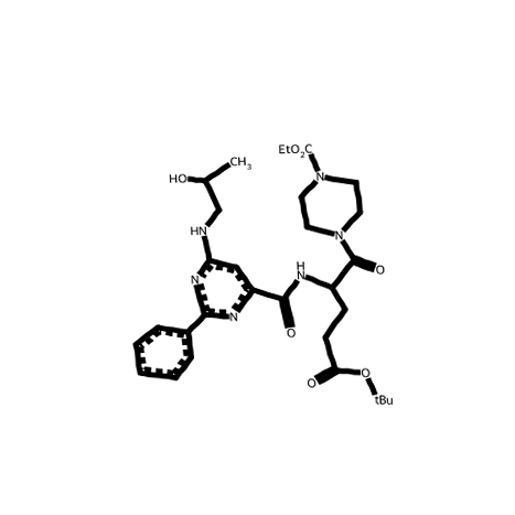 CCOC(=O)N1CCN(C(=O)C(CCC(=O)OC(C)(C)C)NC(=O)c2cc(NCC(C)O)nc(-c3ccccc3)n2)CC1